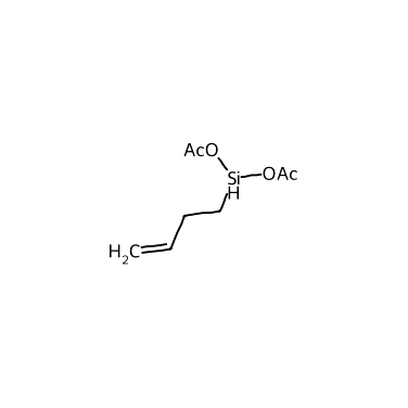 C=CCC[SiH](OC(C)=O)OC(C)=O